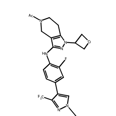 CC(=O)N1CCc2c(c(Nc3ccc(-c4cn(C)nc4C(F)(F)F)cc3F)nn2C2COC2)C1